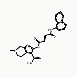 CN1CCc2c(sc(NC(=O)C=CC(=O)Nc3cccc4ccccc34)c2C(N)=O)C1